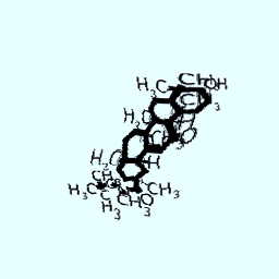 CN(OC(C)(C)C)C(=O)[C@@]1(C)CC[C@]2(C)CC[C@]3(C)C(=CC(=O)[C@@H]4[C@@]5(C)CC[C@H](O)C(C)(C)C5CC[C@]43C)[C@@H]2C1